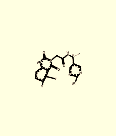 C[C@@H](NC(=O)Cn1c(=O)[nH]c2ccc(F)c(F)c2c1=O)c1cnc(C#N)nc1